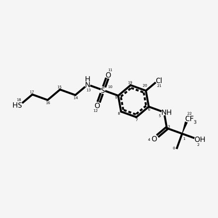 C[C@@](O)(C(=O)Nc1ccc(S(=O)(=O)NCCCCS)cc1Cl)C(F)(F)F